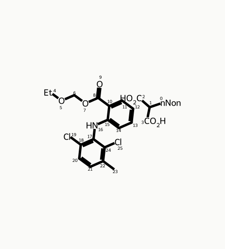 CCCCCCCCCC(C(=O)O)C(=O)O.CCOCOC(=O)c1ccccc1Nc1c(Cl)ccc(C)c1Cl